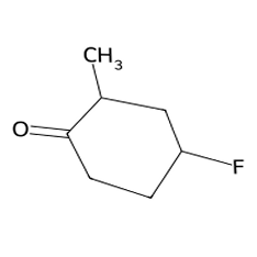 CC1CC(F)CCC1=O